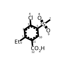 CCc1cc(Cl)c(S(C)(=O)=O)cc1C(=O)O